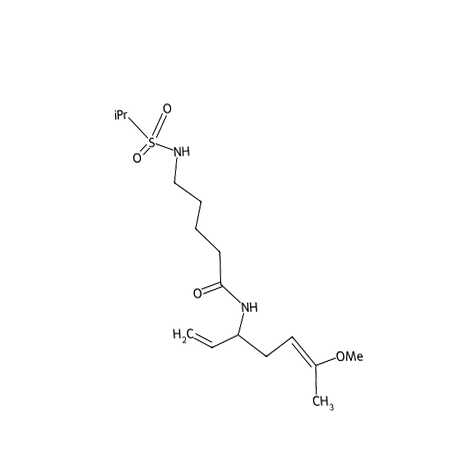 C=CC(C/C=C(\C)OC)NC(=O)CCCCNS(=O)(=O)C(C)C